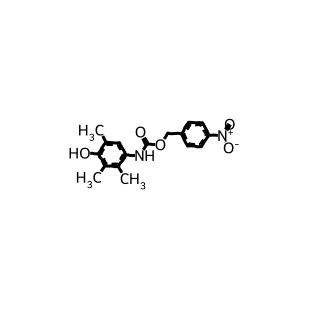 Cc1cc(NC(=O)OCc2ccc([N+](=O)[O-])cc2)c(C)c(C)c1O